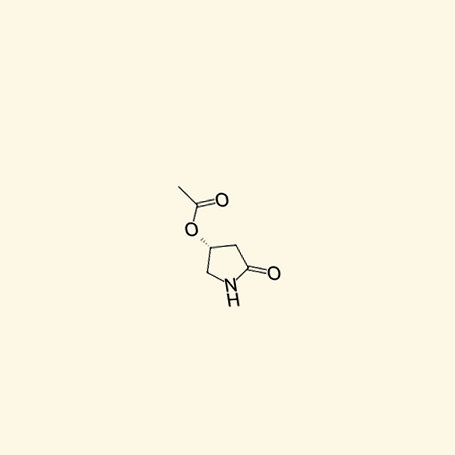 CC(=O)O[C@H]1CNC(=O)C1